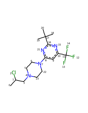 CC(Cl)CN1CCN(c2cc(C(F)(F)F)nc(C(C)(C)C)n2)CC1